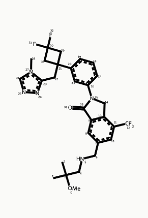 COC(C)(C)CNCc1cc2c(c(C(F)(F)F)c1)CN(c1cccc(C3(Cc4nncn4C)CC(F)(F)C3)c1)C2=O